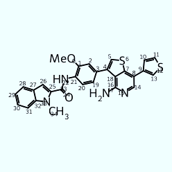 COc1cc(-c2csc3c(-c4ccsc4)cnc(N)c23)ccc1NC(=O)c1cc2ccccc2n1C